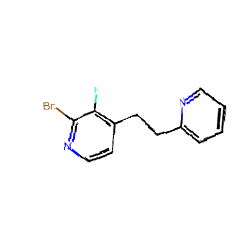 Fc1c(CCc2ccccn2)ccnc1Br